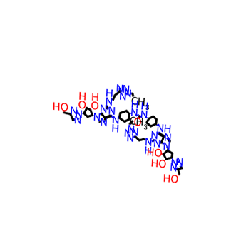 CCn1nnc(CCNc2nc(N[C@H]3CC[C@H](NC(=O)N[C@H]4CC[C@H](Nc5nc(NCCc6nnn(CC)n6)nc6c5ncn6[C@@H]5C[C@H](n6ncc(CO)n6)[C@@H](O)[C@H]5O)CC4)CC3)c3ncn([C@@H]4C[C@H](n5ncc(CO)n5)[C@@H](O)[C@H]4O)c3n2)n1